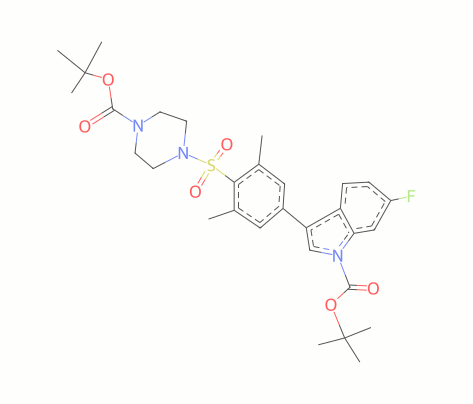 Cc1cc(-c2cn(C(=O)OC(C)(C)C)c3cc(F)ccc23)cc(C)c1S(=O)(=O)N1CCN(C(=O)OC(C)(C)C)CC1